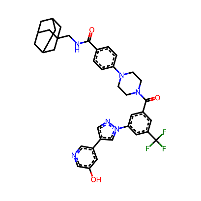 O=C(NCC12CC3CC(CC(C3)C1)C2)c1ccc(N2CCN(C(=O)c3cc(-n4cc(-c5cncc(O)c5)cn4)cc(C(F)(F)F)c3)CC2)cc1